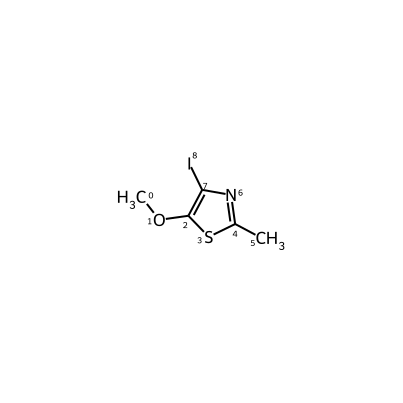 COc1sc(C)nc1I